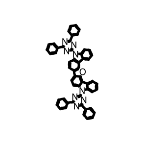 c1ccc(-c2nc(-c3ccccc3)nc(-n3c4ccccc4c4c5oc6c(ccc7c6c6ccccc6n7-c6nc(-c7ccccc7)nc(-c7ccccc7)n6)c5ccc43)n2)cc1